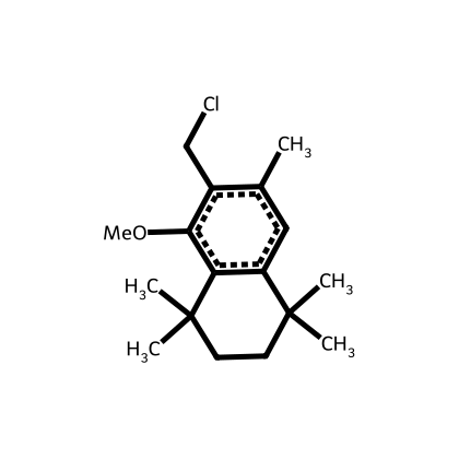 COc1c(CCl)c(C)cc2c1C(C)(C)CCC2(C)C